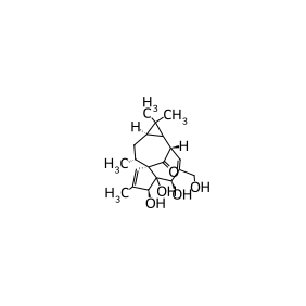 CC1=C[C@]23C(=O)[C@@H](C=C(CO)[C@@H](O)C2(O)[C@H]1O)C1[C@@H](C[C@H]3C)C1(C)C